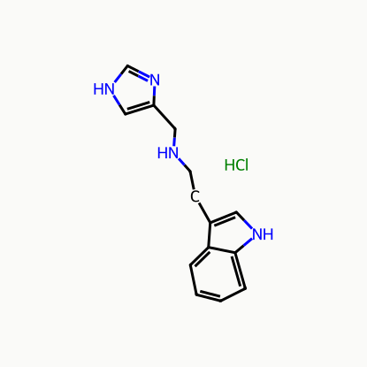 Cl.c1ccc2c(CCNCc3c[nH]cn3)c[nH]c2c1